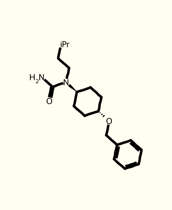 CC(C)CCN(C(N)=O)[C@H]1CC[C@H](OCc2ccccc2)CC1